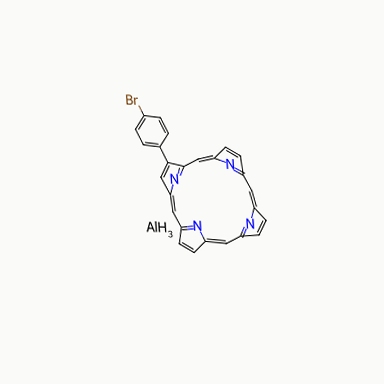 Brc1ccc(C2=CC3=CC4=NC(=CC5=NC(=CC6=NC(=CC2=N3)C=C6)C=C5)C=C4)cc1.[AlH3]